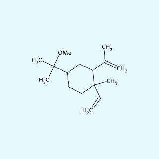 C=CC1(C)CCC(C(C)(C)OC)CC1C(=C)C